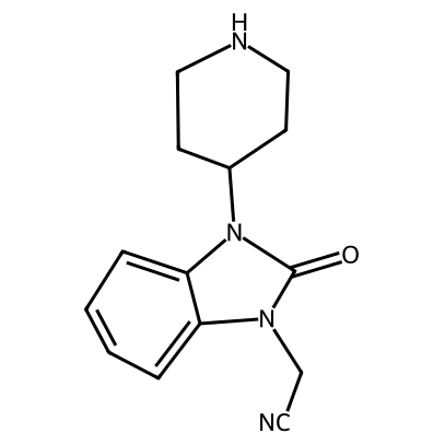 N#CCn1c(=O)n(C2CCNCC2)c2ccccc21